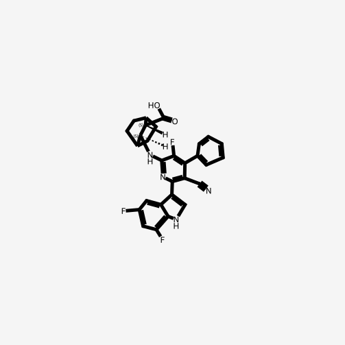 N#Cc1c(-c2c[nH]c3c(F)cc(F)cc23)nc(N[C@H]2C3CCC(CC3)[C@@H]2C(=O)O)c(F)c1-c1ccccc1